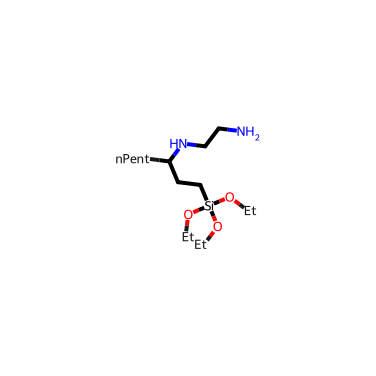 CCCCCC(CC[Si](OCC)(OCC)OCC)NCCN